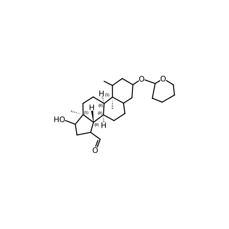 CC1CC(OC2CCCCO2)CC2CC[C@@H]3[C@@H](CC[C@]4(C)C(O)CC(C=O)[C@@H]34)[C@@]12C